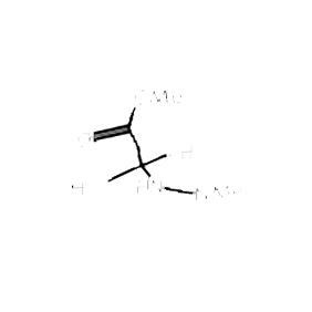 CNNC(C)(C)C(=O)OC